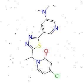 CC(c1nnc(-c2cncc(N(C)C)c2)s1)n1ccc(Cl)cc1=O